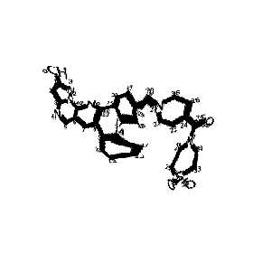 Cc1cc2ncc3cc(-c4ccccc4)c(-c4ccc(CN5CCC(C(=O)N6CCS(=O)(=O)CC6)CC5)cc4)nc3n2n1